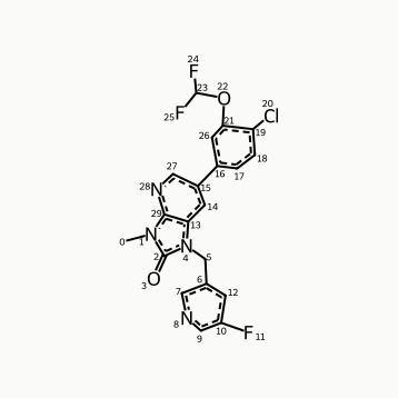 Cn1c(=O)n(Cc2cncc(F)c2)c2cc(-c3ccc(Cl)c(OC(F)F)c3)cnc21